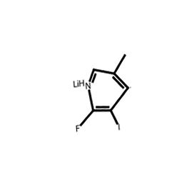 Cc1[c]c(I)c(F)nc1.[LiH]